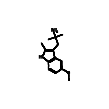 COc1ccc2[nH]c(C)c(CC(C)(C)N)c2c1